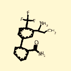 CCC(N)c1cc(-c2ccccc2C(N)=O)ccc1C(F)(F)F